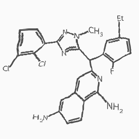 CCc1ccc(F)c(C(c2cc3cc(N)ccc3c(N)n2)c2nc(-c3cccc(Cl)c3Cl)nn2C)c1